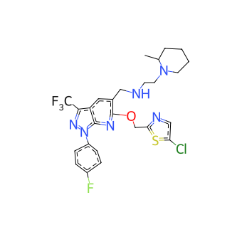 CC1CCCCN1CCNCc1cc2c(C(F)(F)F)nn(-c3ccc(F)cc3)c2nc1OCc1ncc(Cl)s1